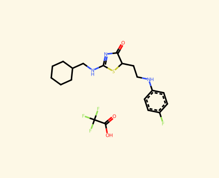 O=C(O)C(F)(F)F.O=C1N=C(NCC2CCCCC2)SC1CCNc1ccc(F)cc1